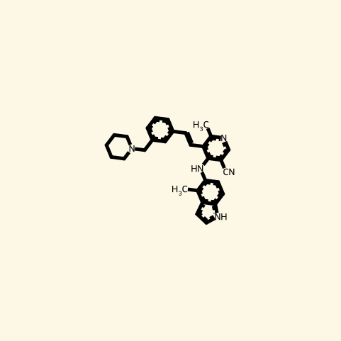 Cc1ncc(C#N)c(Nc2ccc3[nH]ccc3c2C)c1C=Cc1cccc(CN2CCCCC2)c1